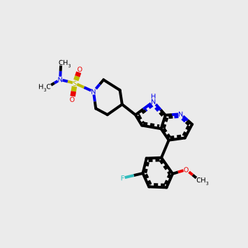 COc1ccc(F)cc1-c1ccnc2[nH]c(C3CCN(S(=O)(=O)N(C)C)CC3)cc12